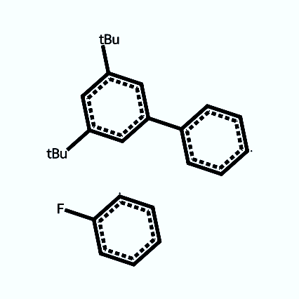 CC(C)(C)c1cc(-c2cc[c]cc2)cc(C(C)(C)C)c1.Fc1[c]cccc1